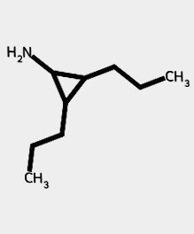 CCCC1C(N)C1CCC